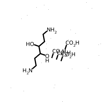 CC(=O)O.CC(=O)O.CC(=O)O.CC(=O)O.NCCC(O)C(O)CCN